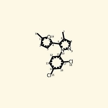 Cc1ccc(-c2c(C)cnn2-c2ccc(Cl)cc2Cl)o1